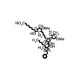 C/C=C/C=C/C1OC(O)(C(COC2CC(OC)OC(C)C2O)C(=O)NC/C=C/C=C(\C)C(OC)C(C)C2CC(O)C(/C=C/C=C/C=C/C(=O)O)O2)C(O)C(OC(=O)Cc2ccccc2)C1(C)C